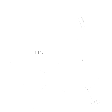 [2H]C(C(=O)OC)C([2H])c1c(-c2ccc(F)cc2)[nH]c2c(F)cc(F)cc12